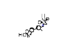 Cc1cc(-c2cccc(CN(C)C(=O)O)c2)ccc1/C=C1/SC(=O)NC1=O